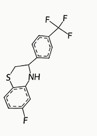 Fc1ccc2c(c1)NC(c1ccc(C(F)(F)F)cc1)CS2